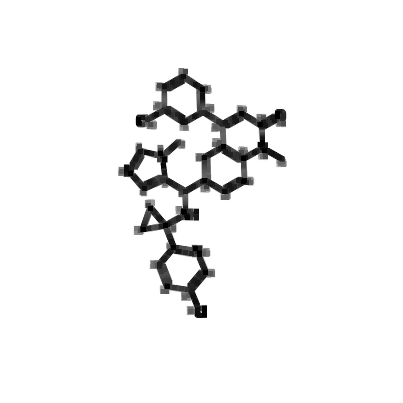 Cn1cncc1C(NC1(c2ccc(Cl)cn2)CC1)c1ccc2c(c1)c(-c1cccc(Cl)c1)cc(=O)n2C